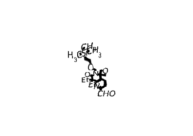 CCC1(CC)C(=O)N(COCC[Si](C)(C)C)C2(COC2)c2ccc(C=O)nc21